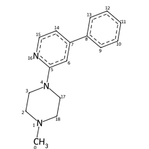 CN1CCN(c2cc(-c3cc[c]cc3)ccn2)CC1